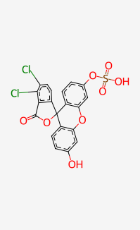 O=C1OC2(c3ccc(O)cc3Oc3cc(OS(=O)(=O)O)ccc32)c2ccc(Cl)c(Cl)c21